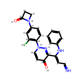 N=C/C=C(\Nc1ccccc1)c1nn(-c2ccc(N3CCC3=O)cc2F)ccc1=O